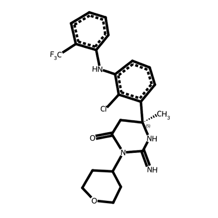 C[C@@]1(c2cccc(Nc3ccccc3C(F)(F)F)c2Cl)CC(=O)N(C2CCOCC2)C(=N)N1